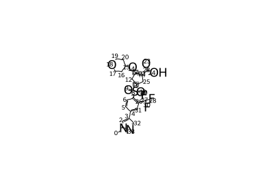 Cn1cc(-c2ccc(S(=O)(=O)[C@@H]3C[C@H](OC4CCOCC4)[C@@H](C(=O)O)C3)c(C(F)(F)F)c2)cn1